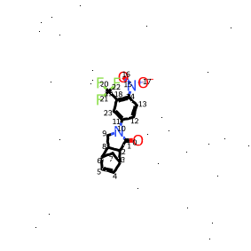 O=C1C2C3C=CC(C3)C2CN1c1ccc([N+](=O)[O-])c(C(F)(F)F)c1